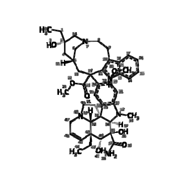 CC[C@]1(O)C[C@@H]2CN(CCc3c([nH]c4ccccc34)C(C(=O)OC)(c3cc4c(cc3OC)N(C)[C@H]3C(O)(C(N)=O)[C@H](O)[C@]5(CC)C=CCN6CC[C@]43[C@@H]65)C2)C1